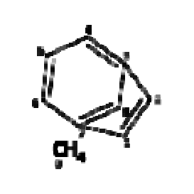 C.C1=Cc2cccc1c2